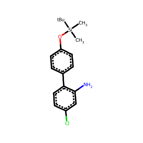 CC(C)(C)[Si](C)(C)Oc1ccc(-c2ccc(Cl)cc2N)cc1